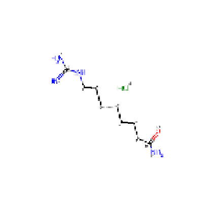 Cl.N=C(N)NCCCCCCCC(N)=O